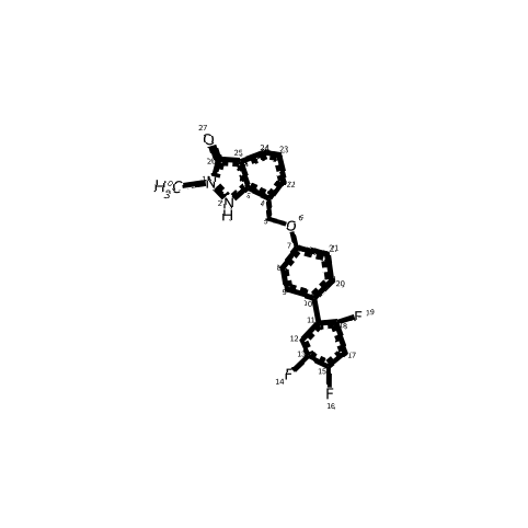 Cn1[nH]c2c(COc3ccc(-c4cc(F)c(F)cc4F)cc3)cccc2c1=O